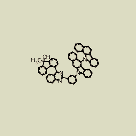 CC1(C)c2ccccc2-c2c(-c3nc(-c4cccc(-n5c6ccccc6c6c(-n7c8ccccc8c8ccc9ccccc9c87)c7ccccc7cc65)c4)nc4ccccc34)cccc21